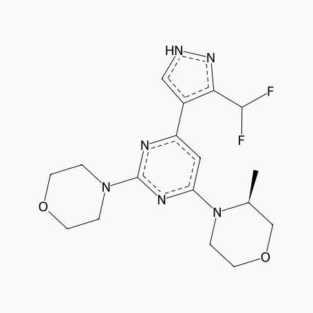 C[C@H]1COCCN1c1cc(-c2c[nH]nc2C(F)F)nc(N2CCOCC2)n1